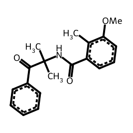 COc1cccc(C(=O)NC(C)(C)C(=O)c2ccccc2)c1C